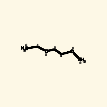 BCOCCON